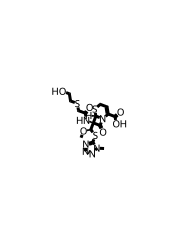 CO[C@H](Sc1nnnn1C)[C@@]1(NC(=O)CSCCO)C(=O)N2C(C(=O)O)=CCS[C@H]21